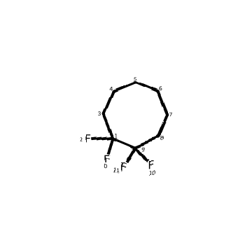 FC1(F)CCCCCCC1(F)F